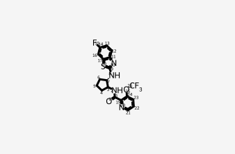 O=C(NC1CCC[C@@H]1Nc1nc2ccc(F)cc2s1)c1ncccc1OC(F)(F)F